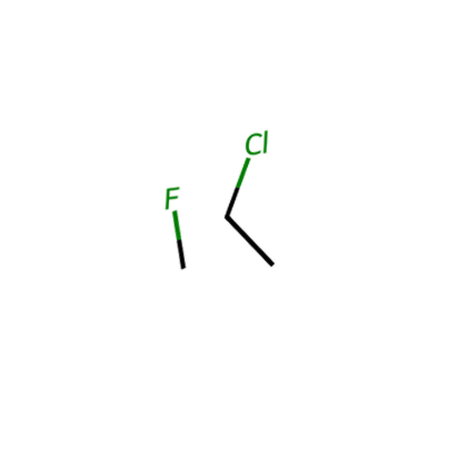 CCCl.CF